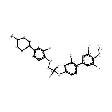 CCCC1CCC(c2ccc(OCC(F)(F)Oc3ccc(-c4cc(F)c(OC(F)(F)F)c(F)c4)c(F)c3)c(F)c2)CC1